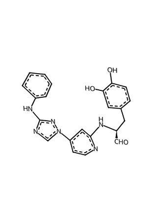 O=C[C@H](Cc1ccc(O)c(O)c1)Nc1cc(-n2cnc(Nc3ccccc3)n2)ccn1